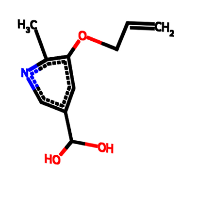 C=CCOc1cc(C(O)O)cnc1C